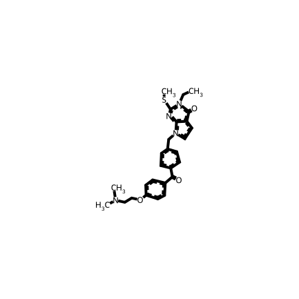 CCn1c(SC)nc2c(ccn2Cc2ccc(C(=O)c3ccc(OCCN(C)C)cc3)cc2)c1=O